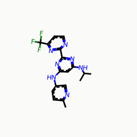 Cc1ccc(Nc2cc(NC(C)C)nc(-c3nccc(C(F)(F)F)n3)n2)cn1